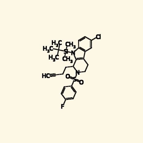 C#CCCC1c2c(c3cc(Cl)ccc3n2[Si](C)(C)C(C)(C)C)CCN1S(=O)(=O)c1ccc(F)cc1